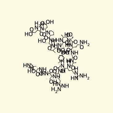 CC(C)[C@H](NC(=O)[C@H](CO)NC(=O)[C@@H]1CCCN1C(=O)[C@H](CC(=O)O)NC(=O)[C@@H](N)CC(=O)O)C(=O)N[C@@H](CO)C(=O)N[C@@H](C)C(=O)N[C@@H](CO)C(=O)N[C@@H](CCC(N)=O)C(=O)N[C@@H](CO)C(=O)N[C@@H](C)C(=O)N[C@@H](CCCNC(=N)N)C(=O)N[C@@H](Cc1ccc(O)cc1)C(=O)N[C@@H](CCCNC(=N)N)C(=O)N[C@H](C(=O)NCC(=O)N[C@@H](Cc1c[nH]cn1)C(=O)O)[C@@H](C)O